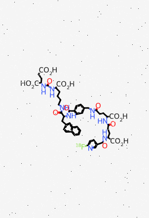 O=C(O)CCC(NC(=O)NC(CCCCNC(=O)C(Cc1ccc2ccccc2c1)NC(=O)c1ccc(CNC(=O)CCC(NC(=O)CCC(NC(=O)c2ccc([18F])nc2)C(=O)O)C(=O)O)cc1)C(=O)O)C(=O)O